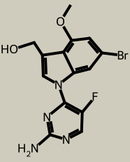 COc1cc(Br)cc2c1c(CO)cn2-c1nc(N)ncc1F